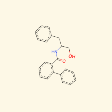 O=C(NC(CO)Cc1ccccc1)c1ccccc1-c1ccccc1